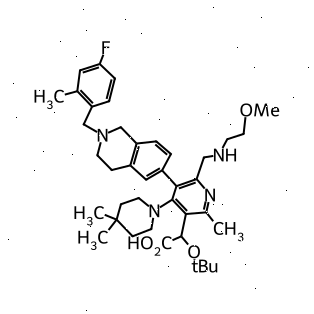 COCCNCc1nc(C)c(C(OC(C)(C)C)C(=O)O)c(N2CCC(C)(C)CC2)c1-c1ccc2c(c1)CCN(Cc1ccc(F)cc1C)C2